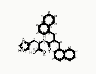 O=C(N[C@H](Cc1c[nH]cn1)C(=O)O)C(Cc1cccc2ccccc12)Cc1cccc2ccccc12